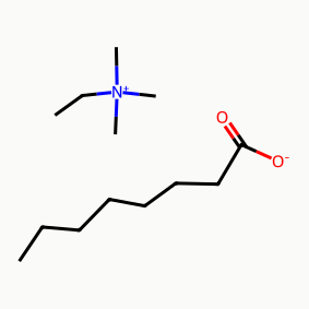 CCCCCCCC(=O)[O-].CC[N+](C)(C)C